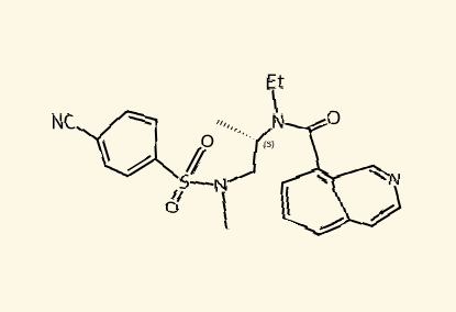 CCN(C(=O)c1cccc2ccncc12)[C@@H](C)CN(C)S(=O)(=O)c1ccc(C#N)cc1